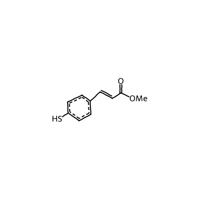 COC(=O)C=Cc1ccc(S)cc1